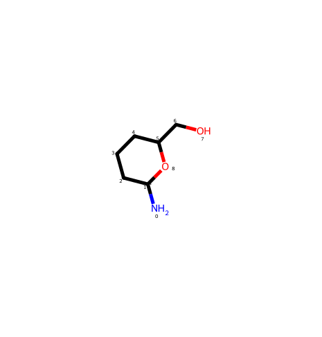 N[C]1CCCC(CO)O1